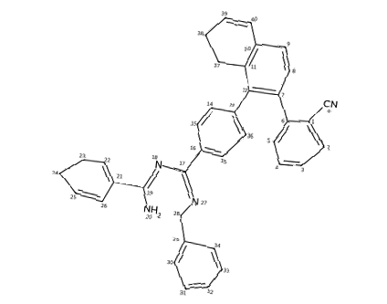 N#Cc1ccccc1-c1ccc2c(c1-c1ccc(C(/N=C(\N)C3=CCCC=C3)=N/Cc3ccccc3)cc1)CCC=C2